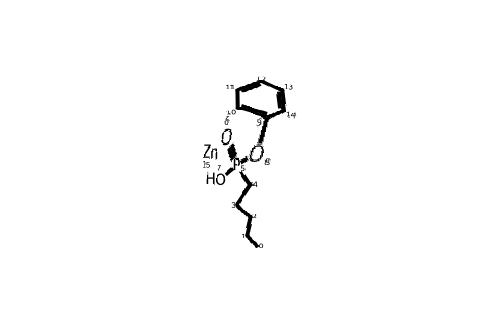 CCCCCP(=O)(O)Oc1ccccc1.[Zn]